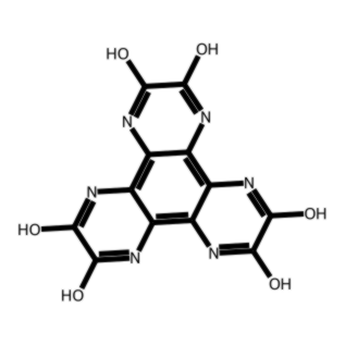 Oc1nc2c3nc(O)c(O)nc3c3nc(O)c(O)nc3c2nc1O